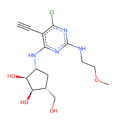 C#Cc1c(Cl)nc(NCCOC)nc1N[C@@H]1C[C@H](CO)[C@@H](O)[C@H]1O